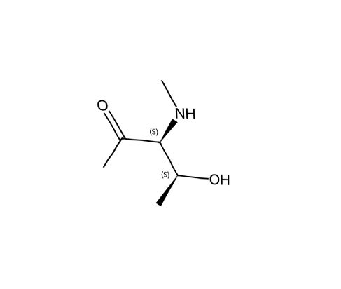 CN[C@H](C(C)=O)[C@H](C)O